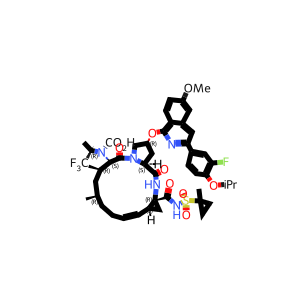 COc1ccc2c(O[C@@H]3C[C@H]4C(=O)N[C@]5(C(=O)NS(=O)(=O)C6(C)CC6)C[C@H]5C=CCC[C@@H](C)C[C@@H](C)[C@H](N(C(=O)O)[C@H](C)C(F)(F)F)C(=O)N4C3)nc(-c3ccc(OC(C)C)c(F)c3)cc2c1